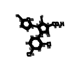 Cc1ccc(-c2c(C)c(C(=O)O)nn2-c2ccc(Cl)cc2Cl)o1